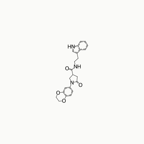 O=C(NCCc1c[nH]c2ccccc12)C1CC(=O)N(c2ccc3c(c2)OCCO3)C1